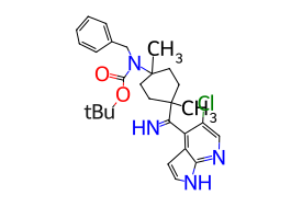 CC(C)(C)OC(=O)N(Cc1ccccc1)C1(C)CCC(C)(C(=N)c2c(Cl)cnc3[nH]ccc23)CC1